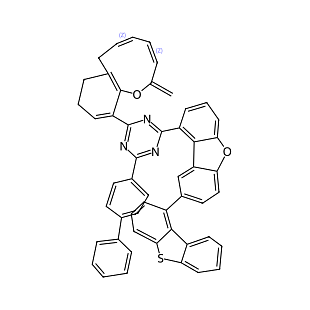 C=C1/C=C\C=C/CC2=C(O1)C(c1nc(-c3ccc(-c4ccccc4)cc3)nc(-c3cccc4oc5ccc(-c6cccc7sc8ccccc8c67)cc5c34)n1)=CCC2